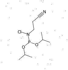 CC(C)OP(OC(C)C)N(Cl)CCC#N